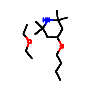 CCCCOC1CC(C)(C)NC(C)(C)C1.CCOCC